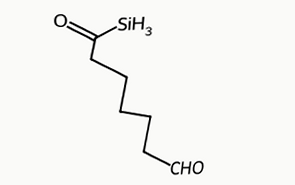 O=CCCCCCC(=O)[SiH3]